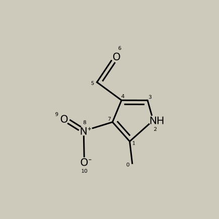 Cc1[nH]cc(C=O)c1[N+](=O)[O-]